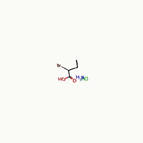 CCC(Br)C(=O)O.Cl.N